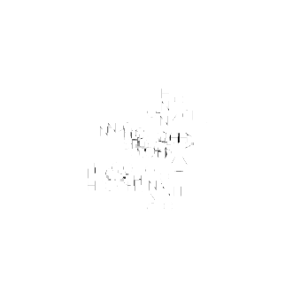 Cc1cn([C@H]2C[C@H](O[Si](C)(C)C(C)(C)C)[C@@H](C(O)OP([O-])(=S)O[C@@]3(O)C[C@H](n4cc(C)c(=O)[nH]c4=O)O[C@@H]3CO[Si](c3ccccc3)(c3ccccc3)C(C)(C)C)O2)c(=O)[nH]c1=O.[C+]1=C2CCCCNN2CCC1